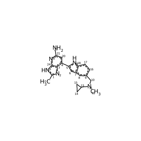 Cc1nc2c(-c3cc4cc(CN(C)C5CC5)ccc4[nH]3)cc(N)nc2[nH]1